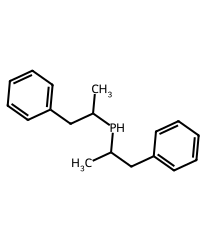 CC(Cc1ccccc1)PC(C)Cc1ccccc1